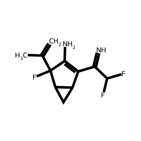 C=C(C)C1(F)C(N)=C(C(=N)C(F)F)C2CC21